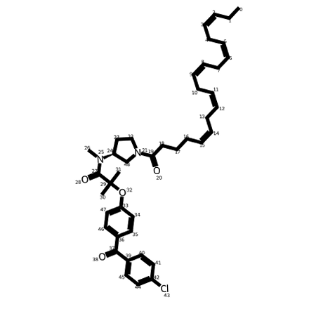 CC/C=C\C/C=C\C/C=C\C/C=C\C/C=C\CCCC(=O)N1CC[C@H](N(C)C(=O)C(C)(C)Oc2ccc(C(=O)c3ccc(Cl)cc3)cc2)C1